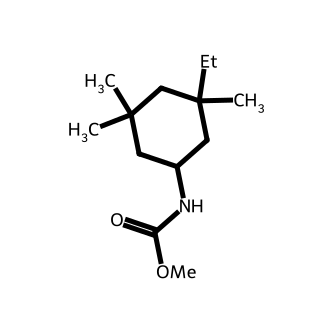 CCC1(C)CC(NC(=O)OC)CC(C)(C)C1